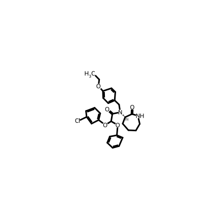 CCOc1ccc(CN(C(=O)C(Oc2ccccc2)Oc2cccc(Cl)c2)[C@H]2CCCCNC2=O)cc1